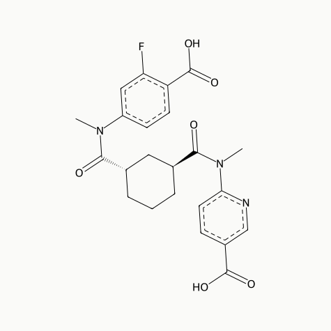 CN(C(=O)[C@H]1CCC[C@H](C(=O)N(C)c2ccc(C(=O)O)cn2)C1)c1ccc(C(=O)O)c(F)c1